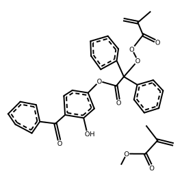 C=C(C)C(=O)OC.C=C(C)C(=O)OOC(C(=O)Oc1ccc(C(=O)c2ccccc2)c(O)c1)(c1ccccc1)c1ccccc1